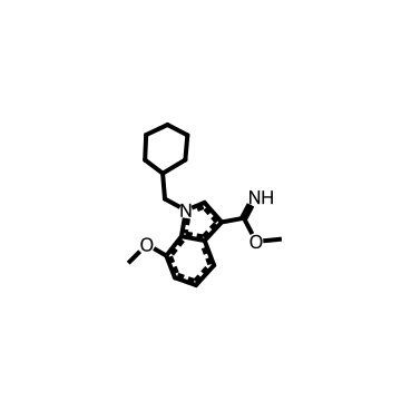 COC(=N)c1cn(CC2CCCCC2)c2c(OC)cccc12